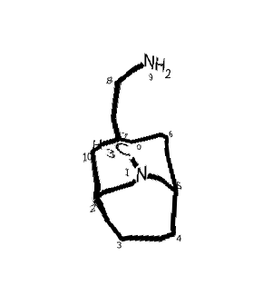 CN1C2CCC1CC(CN)C2